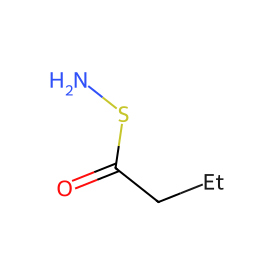 CCCC(=O)SN